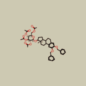 CC(=O)OC[C@H]1O[C@@H](O[C@H]2CCC3C4CCc5cc(OCc6ccccc6)c(OCc6ccccc6)cc5C4CC[C@@]32C)[C@H](OC(C)=O)[C@@H](OC(C)=O)[C@@H]1OC(C)=O